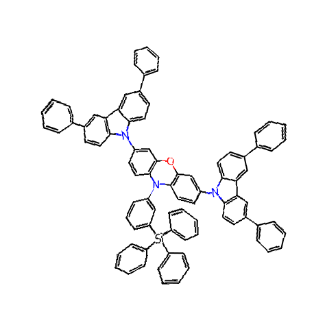 c1ccc(-c2ccc3c(c2)c2cc(-c4ccccc4)ccc2n3-c2ccc3c(c2)Oc2cc(-n4c5ccc(-c6ccccc6)cc5c5cc(-c6ccccc6)ccc54)ccc2N3c2cccc([Si](c3ccccc3)(c3ccccc3)c3ccccc3)c2)cc1